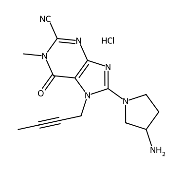 CC#CCn1c(N2CCC(N)C2)nc2nc(C#N)n(C)c(=O)c21.Cl